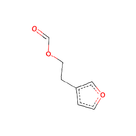 O=COCCc1ccoc1